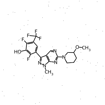 COC1CCCN(c2ncc3c(-c4cc(C(F)(F)F)c(F)c(O)c4F)nn(C)c3n2)C1